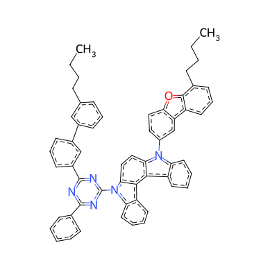 CCCCc1cccc(-c2cccc(-c3nc(-c4ccccc4)nc(-n4c5ccccc5c5c6c7ccccc7n(-c7ccc8oc9c(CCCC)cccc9c8c7)c6ccc54)n3)c2)c1